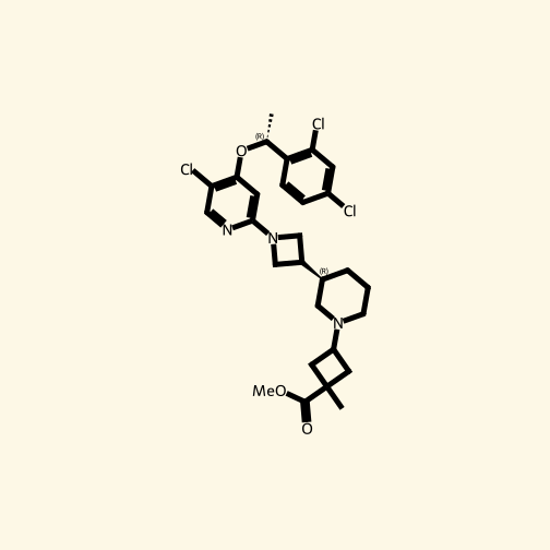 COC(=O)C1(C)CC(N2CCC[C@H](C3CN(c4cc(O[C@H](C)c5ccc(Cl)cc5Cl)c(Cl)cn4)C3)C2)C1